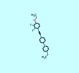 CCOc1ccc(C#Cc2ccc(-c3ccc(CC)cc3)cc2)c(F)c1F